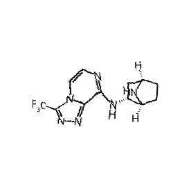 FC(F)(F)c1nnc2c(N[C@@H]3C[C@H]4CC[C@@H]3N4)nccn12